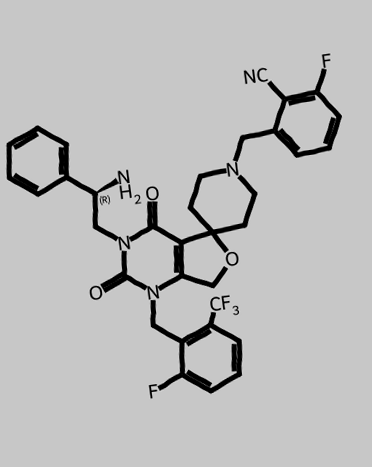 N#Cc1c(F)cccc1CN1CCC2(CC1)OCc1c2c(=O)n(C[C@H](N)c2ccccc2)c(=O)n1Cc1c(F)cccc1C(F)(F)F